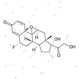 C[C@@H]1C[C@H]2[C@@H]3C[C@H](F)C4=CC(=O)C=C[C@]4(C)C34O[C@H]4C[C@]2(C)[C@@]1(O)C(=O)CO